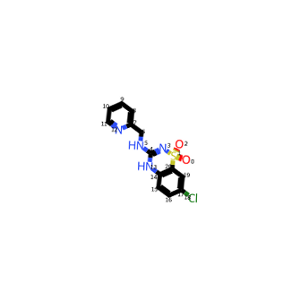 O=S1(=O)N=C(NCc2ccccn2)Nc2ccc(Cl)cc21